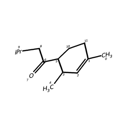 CC1=CC(C)C(C(=O)CC(C)C)CC1